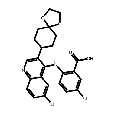 O=C(O)c1cc(Cl)ccc1Nc1c(C2CCC3(CC2)OCCO3)cnc2ccc(Cl)cc12